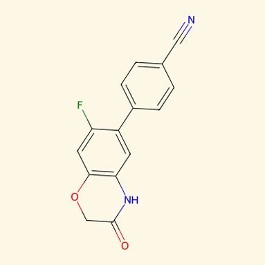 N#Cc1ccc(-c2cc3c(cc2F)OCC(=O)N3)cc1